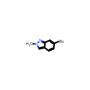 CCC(C)c1ccc2cn(C)nc2c1